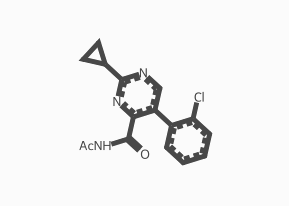 CC(=O)NC(=O)c1nc(C2CC2)ncc1-c1ccccc1Cl